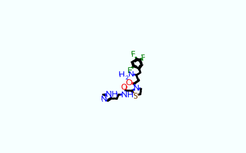 NC(CC(=O)N1CCSC1C(=O)NCCc1cnc[nH]1)Cc1cc(F)c(F)cc1F